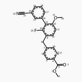 COC(=O)c1ccc(Cc2ccc(OC)c(-c3cccc(C#N)c3)c2F)cn1